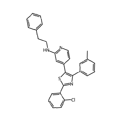 Cc1cccc(-c2nc(-c3ccccc3Cl)sc2-c2ccnc(NCCc3ccccc3)c2)c1